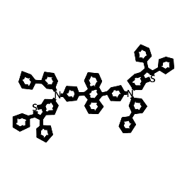 c1ccc(-c2cccc(N(c3ccc(-c4c5ccccc5c(-c5ccc(N(c6cccc(-c7ccccc7)c6)c6ccc7c(-c8ccccc8)c(-c8ccccc8)sc7c6)cc5)c5ccccc45)cc3)c3ccc4c(-c5ccccc5)c(-c5ccccc5)sc4c3)c2)cc1